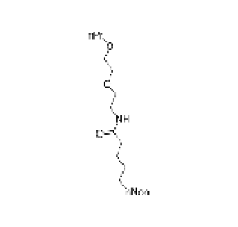 CCCCCCCCCCCCCC(=O)NCCOCCOCCC